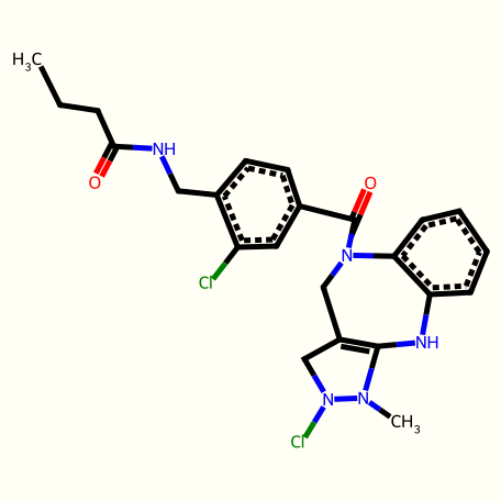 CCCC(=O)NCc1ccc(C(=O)N2CC3=C(Nc4ccccc42)N(C)N(Cl)C3)cc1Cl